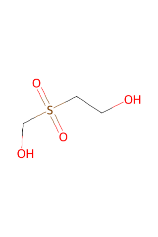 O=S(=O)(CO)CCO